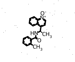 Cc1ccccc1C(=O)N[C@H](C)c1cc[n+]([O-])c2ccccc12